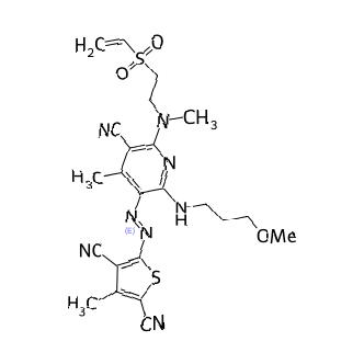 C=CS(=O)(=O)CCN(C)c1nc(NCCCOC)c(/N=N/c2sc(C#N)c(C)c2C#N)c(C)c1C#N